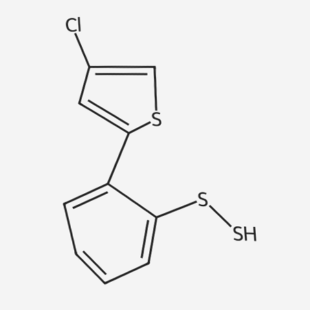 SSc1ccccc1-c1cc(Cl)cs1